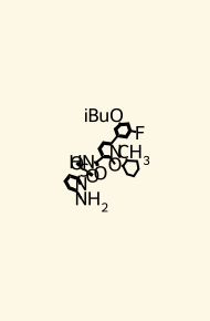 CC(C)COc1cc(F)cc(-c2ccc(C(=O)NS(=O)(=O)c3cccc(N)n3)c(OC3CCCCC3C)n2)c1